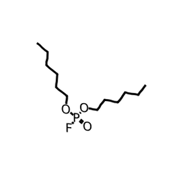 CCCCCCOP(=O)(F)OCCCCCC